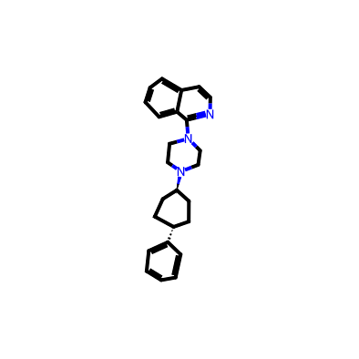 c1ccc([C@H]2CC[C@H](N3CCN(c4nccc5ccccc45)CC3)CC2)cc1